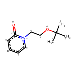 CC(C)(C)OCCn1ccccc1=O